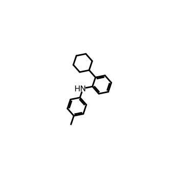 Cc1ccc(Nc2ccccc2C2CCCCC2)cc1